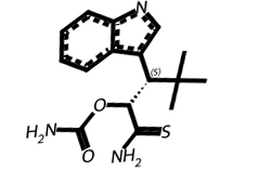 CC(C)(C)[C@@H](c1c[nH]c2ccccc12)C(OC(N)=O)C(N)=S